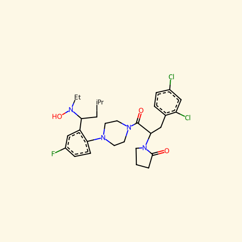 CCN(O)C(CC(C)C)c1cc(F)ccc1N1CCN(C(=O)C(Cc2ccc(Cl)cc2Cl)N2CCCC2=O)CC1